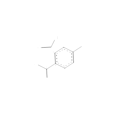 Cc1ccc(C(Cl)Cl)cc1.ClCCl